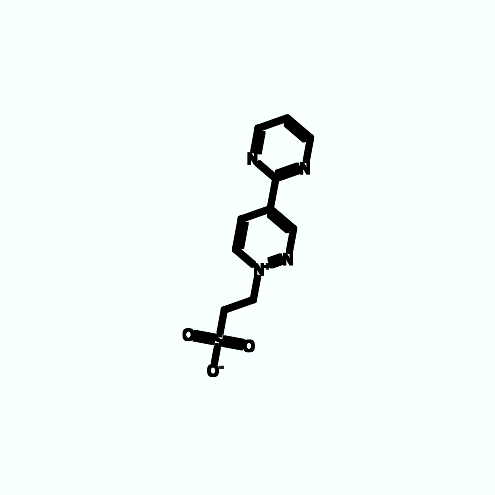 O=S(=O)([O-])CC[n+]1ccc(-c2ncccn2)cn1